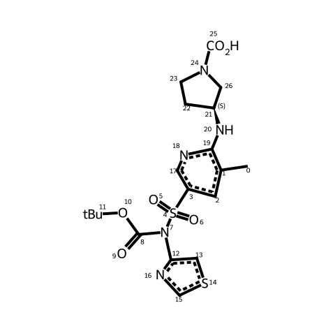 Cc1cc(S(=O)(=O)N(C(=O)OC(C)(C)C)c2cscn2)cnc1N[C@H]1CCN(C(=O)O)C1